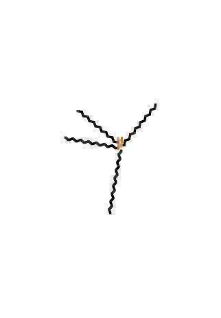 CCCCCCCCCCCCCCCCC[PH](CCCCCCCCCCCCCC)(CCCCCCCCCCCCCC)CCCCCCCCCCCCCC